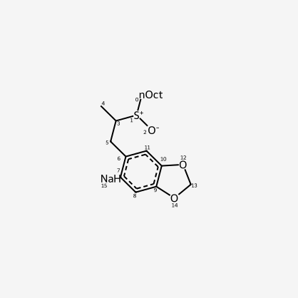 CCCCCCCC[S+]([O-])C(C)Cc1ccc2c(c1)OCO2.[NaH]